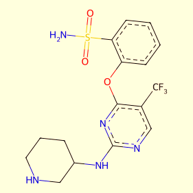 NS(=O)(=O)c1ccccc1Oc1nc(NC2CCCNC2)ncc1C(F)(F)F